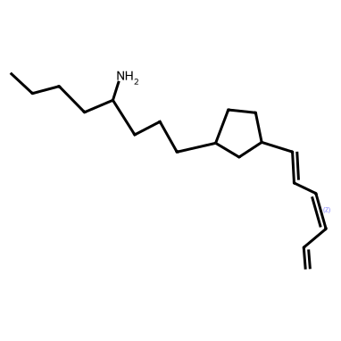 C=C/C=C\C=CC1CCC(CCCC(N)CCCC)C1